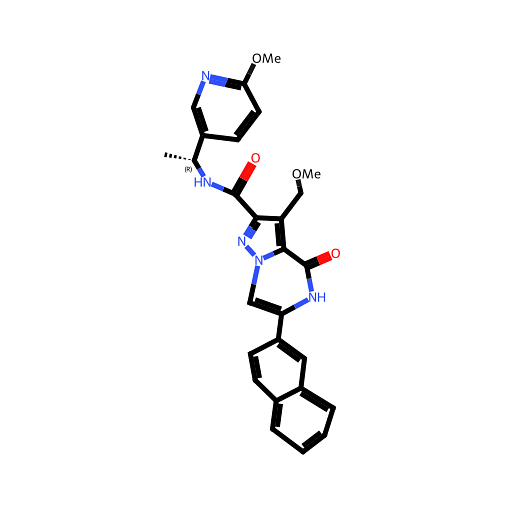 COCc1c(C(=O)N[C@H](C)c2ccc(OC)nc2)nn2cc(-c3ccc4ccccc4c3)[nH]c(=O)c12